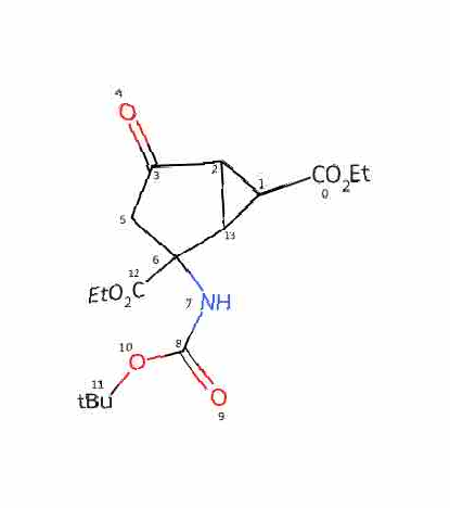 CCOC(=O)C1C2C(=O)CC(NC(=O)OC(C)(C)C)(C(=O)OCC)C21